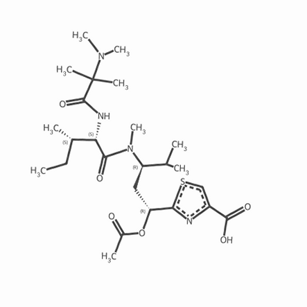 CC[C@H](C)[C@H](NC(=O)C(C)(C)N(C)C)C(=O)N(C)[C@H](C[C@@H](OC(C)=O)c1nc(C(=O)O)cs1)C(C)C